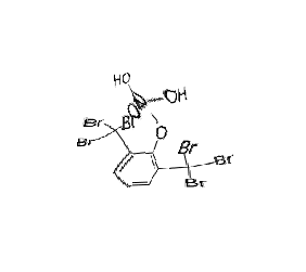 O=P(O)(O)Oc1c(C(Br)(Br)Br)cccc1C(Br)(Br)Br